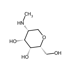 CN[C@@H]1CO[C@H](CO)[C@H](O)[C@@H]1O